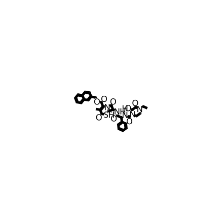 CCN1CCN(C(=O)NC(C(=O)NC2C(=O)N3C(C(=O)OCc4ccc5ccccc5c4)=C(C)C(=O)S[C@@H]23)c2ccccc2)C(=O)C1=O